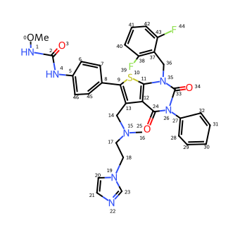 CONC(=O)Nc1ccc(-c2sc3c(c2CN(C)CCn2ccnc2)c(=O)n(-c2ccccc2)c(=O)n3Cc2c(F)cccc2F)cc1